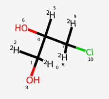 [2H]C([2H])(O)C([2H])(O)C([2H])([2H])Cl